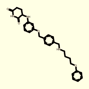 O=C1CCC(Nc2cccc(OCc3ccc(CNCCCCOc4ccccc4)cc3)c2)C(=O)N1